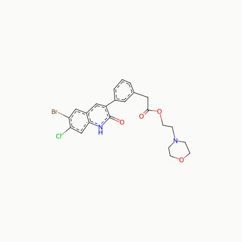 O=C(Cc1cccc(-c2cc3cc(Br)c(Cl)cc3[nH]c2=O)c1)OCCN1CCOCC1